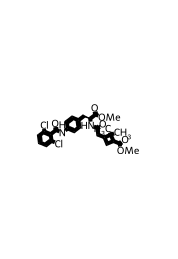 COC(=O)C1CC(CC(=O)N[C@@H](Cc2ccc(NC(=O)c3c(Cl)cccc3Cl)cc2)C(=O)OC)C1(C)C